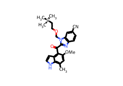 COc1cc(C)c2[nH]ccc2c1C(=O)c1nc2ccc(C#N)cc2n1COCC[Si](C)(C)C